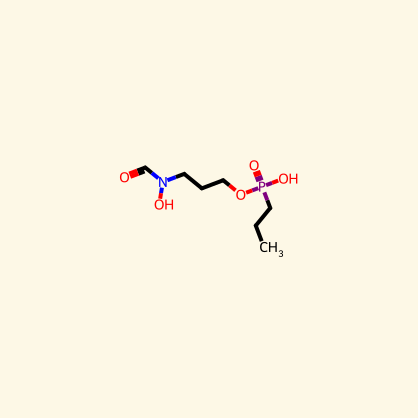 CCCP(=O)(O)OCCCN(O)C=O